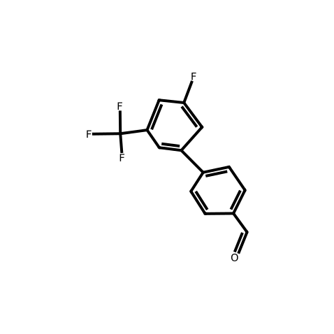 O=Cc1ccc(-c2cc(F)cc(C(F)(F)F)c2)cc1